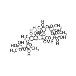 CO[C@H](C(=O)O)[C@@H]1Cc2cc3cc(O[C@H]4C[C@@H](O[C@H]5CC(O)[C@H](O)C(C)O5)[C@H](O)C(C)O4)c(C)c(O)c3c(O)c2C(=O)[C@H]1O[C@H]1CC(O[C@H]2C[C@@H](O[C@H]3CC(O)[C@H](O)C(C)O3)[C@@H](O)C(C)O2)[C@H](O)C(C)O1